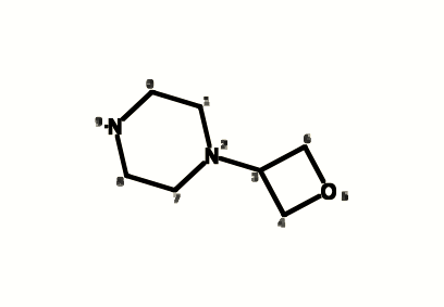 C1CN(C2COC2)CC[N]1